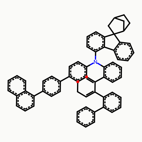 C1=C(c2ccccc2-c2ccccc2)C(c2ccccc2N(c2ccc(-c3ccc(-c4cccc5ccccc45)cc3)cc2)c2cccc3c2-c2ccccc2C32CC3CCC2C3)=CCC1